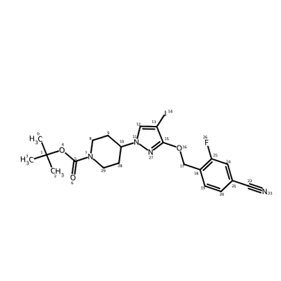 CC(C)(C)OC(=O)N1CCC(n2cc(I)c(OCc3ccc(C#N)cc3F)n2)CC1